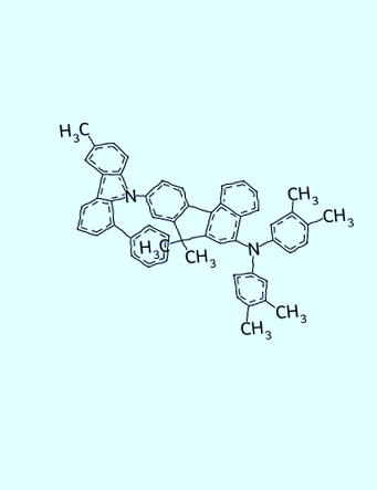 Cc1ccc2c(c1)c1cccc(-c3ccccc3)c1n2-c1ccc2c(c1)C(C)(C)c1cc(N(c3ccc(C)c(C)c3)c3ccc(C)c(C)c3)c3ccccc3c1-2